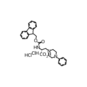 Cl.Cl.O=C(N[C@H](CN1CCN(c2ccccc2)CC1)C(=O)O)OCC1c2ccccc2-c2ccccc21